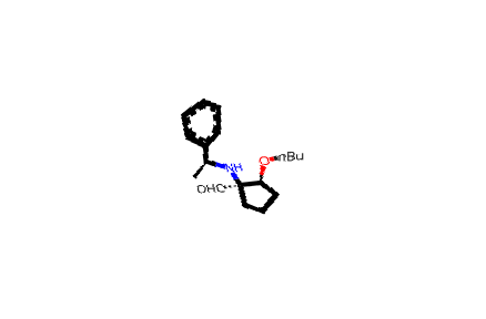 CCCCO[C@H]1CCC[C@@]1(C=O)N[C@@H](C)c1ccccc1